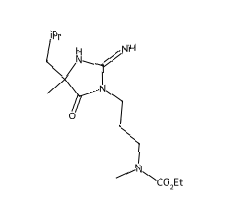 CCOC(=O)N(C)CCCN1C(=N)NC(C)(CC(C)C)C1=O